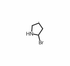 BrC1C[CH]CN1